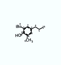 CCC(C)c1cc(CCI)cc(C)c1O